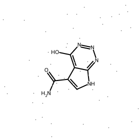 NC(=O)c1c[nH]c2nnnc(O)c12